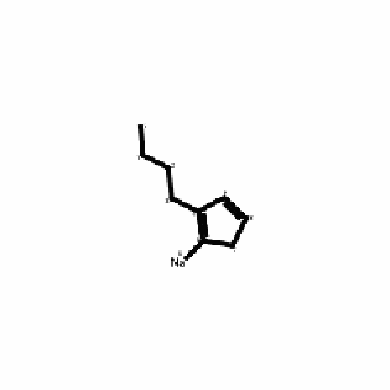 CCCCC1=[C]([Na])CC=C1